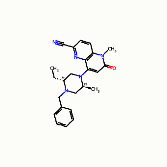 CC[C@@H]1CN(c2cc(=O)n(C)c3ccc(C#N)nc23)[C@@H](C)CN1Cc1ccccc1